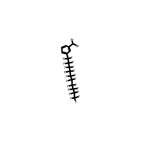 FC(F)(F)C(F)(F)C(F)(F)C(F)(F)C(F)(F)C(F)(F)C(F)(F)C(F)(F)C(F)(F)C(F)(F)c1cccc(C(Br)Br)c1